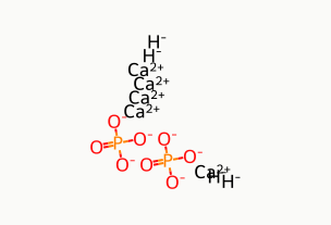 O=P([O-])([O-])[O-].O=P([O-])([O-])[O-].[Ca+2].[Ca+2].[Ca+2].[Ca+2].[Ca+2].[H-].[H-].[H-].[H-]